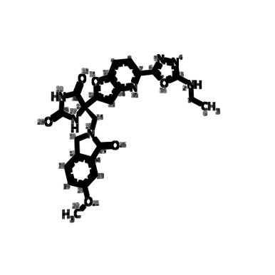 CCNc1nnc(-c2ccc3oc([C@]4(CN5Cc6ccc(OC)cc6C5=O)NC(=O)NC4=O)cc3n2)o1